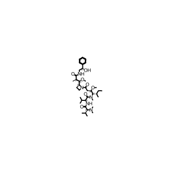 CCC(C)[C@@H]([C@@H](CC(=O)N1CC[C@H]1[C@H](OC)[C@@H](C)C(=O)NC[C@@H](O)c1ccccc1)OC)N(C)C(=O)[C@@H](NC(=O)[C@H](C(C)C)N(C)C)C(C)C